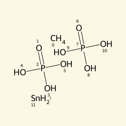 C.O=P(O)(O)O.O=P(O)(O)O.[SnH2]